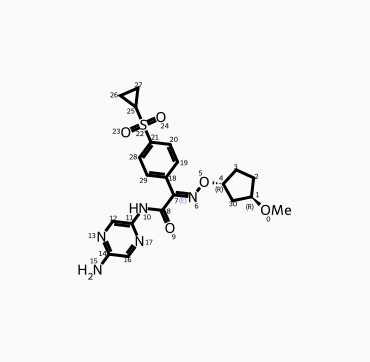 CO[C@@H]1CC[C@@H](O/N=C(/C(=O)Nc2cnc(N)cn2)c2ccc(S(=O)(=O)C3CC3)cc2)C1